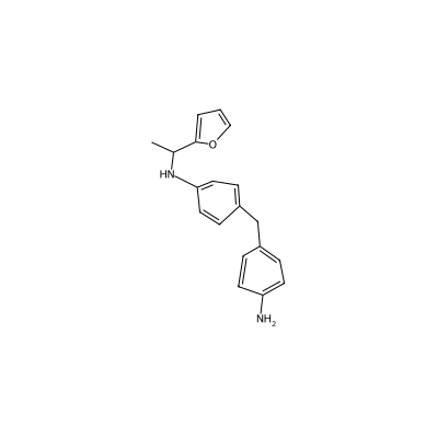 CC(Nc1ccc(Cc2ccc(N)cc2)cc1)c1ccco1